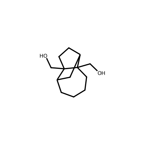 OCC12CCCCC3CC1CCC32CO